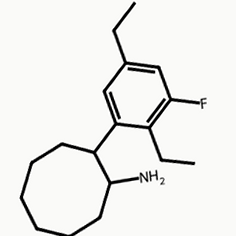 CCc1cc(F)c(CC)c(C2CCCCCCC2N)c1